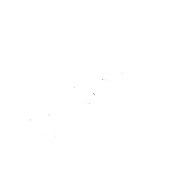 O=C(Nc1ccc(F)cc1)N[C@@H]1[C@@H](F)CCO[C@@H]1CN1CCC(Cc2ccc(F)cc2)CC1